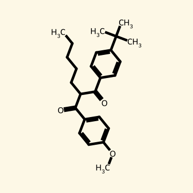 CCCCCC(C(=O)c1ccc(OC)cc1)C(=O)c1ccc(C(C)(C)C)cc1